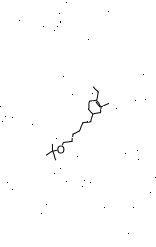 CCC1=C(C)CC(CCCCCCOC(C)(C)C)CC1